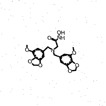 COc1cc(CN(CC(=O)NO)Cc2cc(OC)c3c(c2)OCO3)cc2c1OCO2